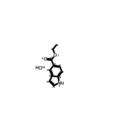 CCOC(=O)c1ccc2[nH]ccc2c1.Cl